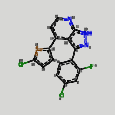 Fc1cc(Cl)ccc1-c1n[nH]c2nccc(-c3ccc(Cl)s3)c12